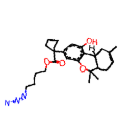 CC1=CCC2[C@@H](C1)c1c(O)cc(C3(C(=O)OCCCCN=[N+]=[N-])CCC3)cc1OC2(C)C